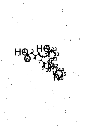 O=C(O)CC/C=C\C[C@H]1CCN(Cc2cccnc2)[C@H]1c1cccc(O)c1